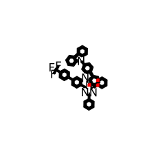 FC(F)(F)c1ccc(-c2ccc(-c3nc(-c4ccccc4)nc(-c4ccccc4)n3)c(-n3c4ccccc4c4ccc(-n5c6ccccc6c6ccccc65)cc43)c2)cc1